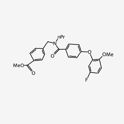 CCCN(Cc1ccc(C(=O)OC)cc1)C(=O)c1ccc(Oc2cc(F)ccc2OC)cc1